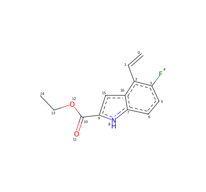 C=Cc1c(F)ccc2[nH]c(C(=O)OCC)cc12